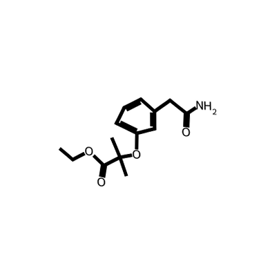 CCOC(=O)C(C)(C)Oc1cccc(CC(N)=O)c1